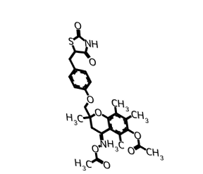 CC(=O)ON=C1CC(C)(COc2ccc(CC3SC(=O)NC3=O)cc2)Oc2c(C)c(C)c(OC(C)=O)c(C)c21